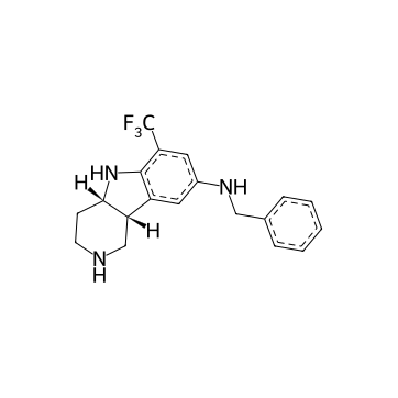 FC(F)(F)c1cc(NCc2ccccc2)cc2c1N[C@H]1CCNC[C@@H]21